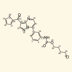 O=C(Nc1cccc(-c2ccnc3c(C(=O)c4cccs4)cnn23)c1)OCCCCCl